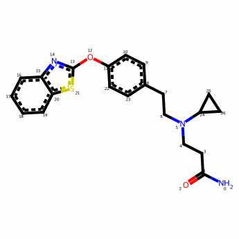 NC(=O)CCN(CCc1ccc(Oc2nc3ccccc3s2)cc1)C1CC1